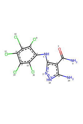 NC(=O)c1c(Nc2c(Cl)c(Cl)c(Cl)c(Cl)c2Cl)n[nH]c1N